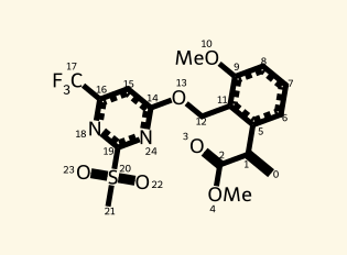 C=C(C(=O)OC)c1cccc(OC)c1COc1cc(C(F)(F)F)nc(S(C)(=O)=O)n1